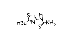 CCCCc1nc(NC(N)=S)cs1